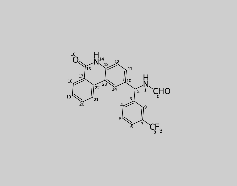 O=CNC(c1cccc(C(F)(F)F)c1)c1ccc2[nH]c(=O)c3ccccc3c2c1